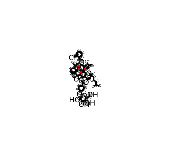 CC(C)=CCCC1(C)C=Cc2c(c(CC=C(C)C)c3c(c2OC(=O)c2ccc(O[C@@H]4O[C@H](CO)[C@@H](O)[C@@H](O)[C@H]4O)cc2)C(=O)C2=CC4CC5C(C)(C)OC(C/C=C(/C)C(=O)OCc6ccccc6Cl)(C4=O)C25O3)O1